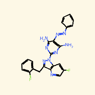 Nc1nc(-n2nc(Cc3ccccc3F)c3ncc(F)cc32)nc(N)c1/N=N/c1ccccc1